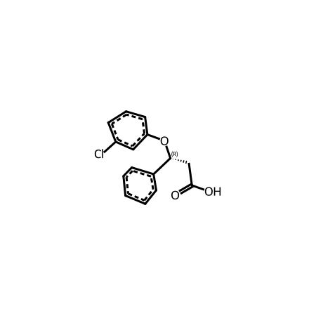 O=C(O)C[C@@H](Oc1cccc(Cl)c1)c1ccccc1